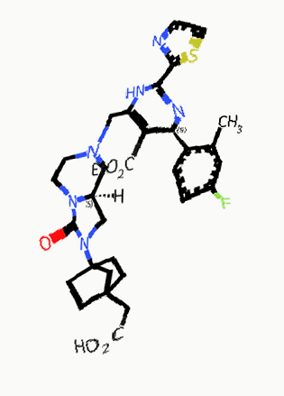 CCOC(=O)C1=C(CN2CCN3C(=O)N(C45CCC(CC(=O)O)(CC4)C5)C[C@@H]3C2)NC(c2nccs2)=N[C@H]1c1ccc(F)cc1C